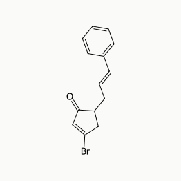 O=C1C=C(Br)CC1CC=Cc1ccccc1